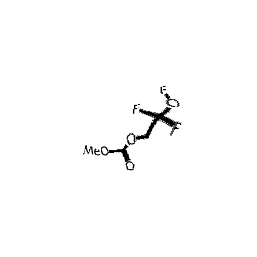 COC(=O)OCC(F)(F)OF